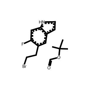 CC(C)(C)OC=O.Fc1cc2[nH]ccc2cc1CCBr